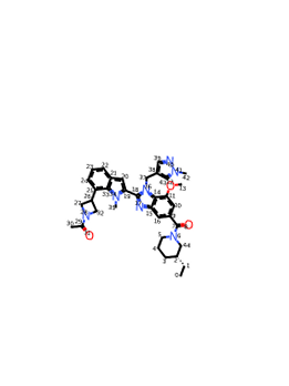 CC[C@@H]1CCCN(C(=O)c2cc(OC)c3c(c2)nc(-c2cc4cccc(C5CN(C(C)=O)C5)c4n2C)n3Cc2cnn(C)c2)C1